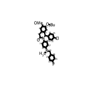 CCC(C)Oc1cc2c(cc1OC)CC(=O)N(c1ccc(N(C)Cc3ccc(F)cc3)cc1)C2c1ccc(Cl)cc1